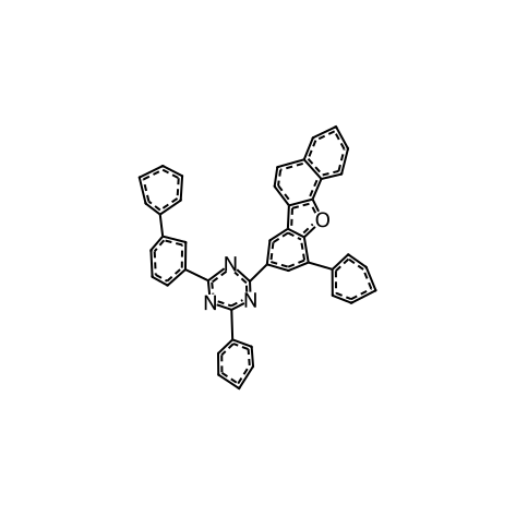 c1ccc(-c2cccc(-c3nc(-c4ccccc4)nc(-c4cc(-c5ccccc5)c5oc6c7ccccc7ccc6c5c4)n3)c2)cc1